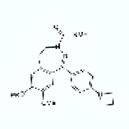 CNC(=O)N1CCc2cc(OC)c(OC)cc2C(c2ccc(N3CCC3)cc2)=N1